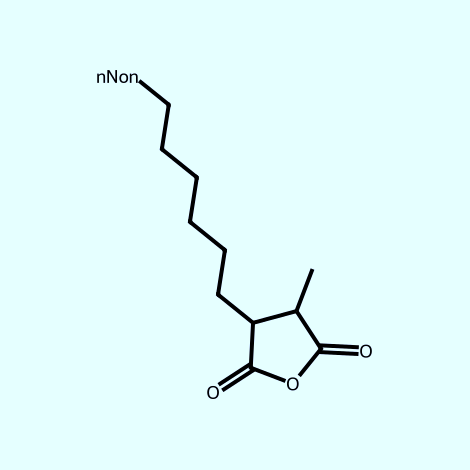 CCCCCCCCCCCCCCCC1C(=O)OC(=O)C1C